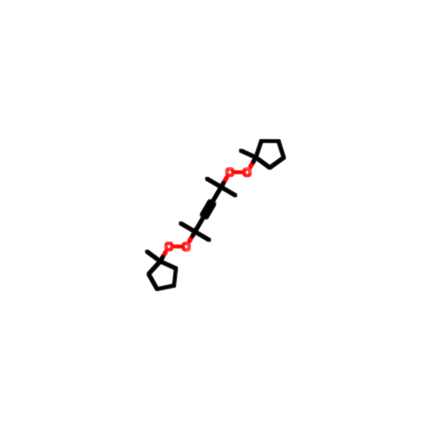 CC(C)(C#CC(C)(C)OOC1(C)CCCC1)OOC1(C)CCCC1